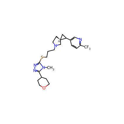 Cn1c(SCCCN2CC[C@]3(CC3c3ccc(C(F)(F)F)nc3)C2)nnc1C1CCOCC1